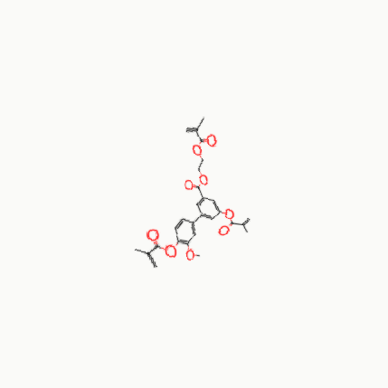 C=C(C)C(=O)OCCOC(=O)c1cc(OC(=O)C(=C)C)cc(-c2ccc(OC(=O)C(=C)C)c(OC)c2)c1